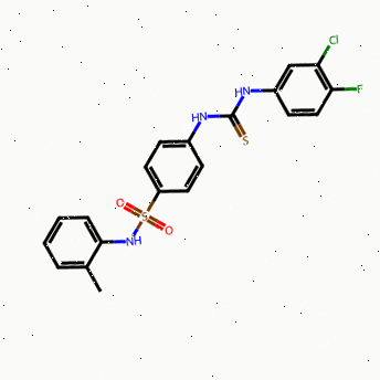 Cc1ccccc1NS(=O)(=O)c1ccc(NC(=S)Nc2ccc(F)c(Cl)c2)cc1